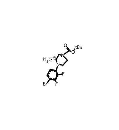 C[C@@H]1CN(C(=O)OC(C)(C)C)CCN1c1ccc(Br)c(F)c1F